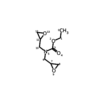 CCOC(=O)N(CC1CO1)CC1CO1